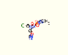 CN1CCN(S(=O)(=O)CCN2CC(c3cccc(Oc4cccnn4)c3)N(c3ccc(Cl)cc3)C2=O)CC1